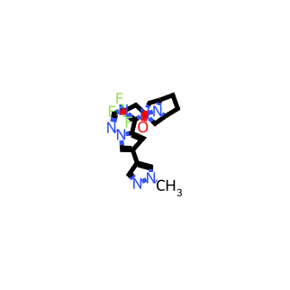 Cn1cc(-c2cc3c(N4CC5CCC(C4)N5C(=O)CC(F)(F)F)ncnn3c2)cn1